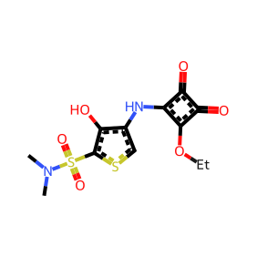 CCOc1c(Nc2csc(S(=O)(=O)N(C)C)c2O)c(=O)c1=O